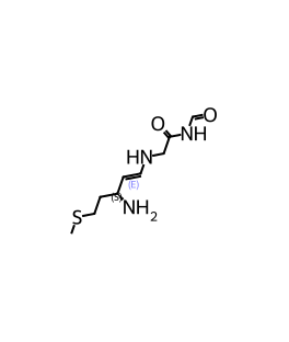 CSCC[C@H](N)/C=C/NCC(=O)NC=O